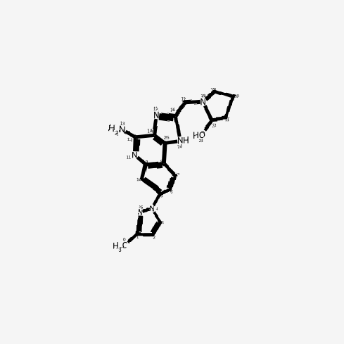 Cc1ccn(-c2ccc3c(c2)nc(N)c2nc(CN4CCCC4O)[nH]c23)n1